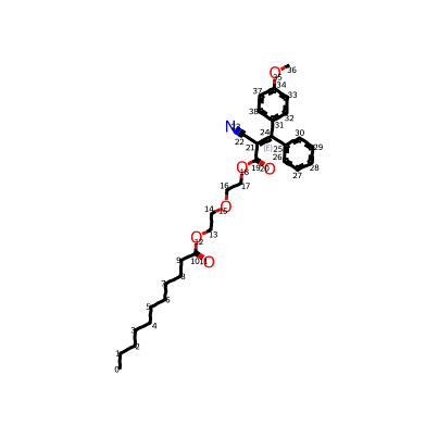 CCCCCCCCCCC(=O)OCCOCCOC(=O)/C(C#N)=C(\c1ccccc1)c1ccc(OC)cc1